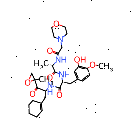 COc1ccc(C[C@H](NC(=O)[C@H](C)NC(=O)CN2CCOCC2)C(=O)N[C@@H](CC2=CCCCC2)C(=O)[C@@]2(C)CO2)cc1O